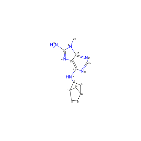 Cn1c(N)nc2c(NC3CC4CCC3C4)ncnc21